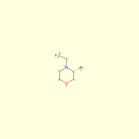 CC(=O)[C@@H]1COCCN1CC(F)(F)F